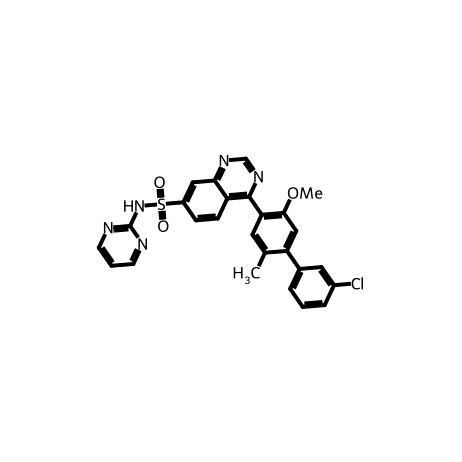 COc1cc(-c2cccc(Cl)c2)c(C)cc1-c1ncnc2cc(S(=O)(=O)Nc3ncccn3)ccc12